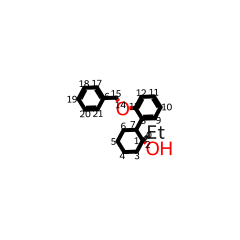 CCC1(O)CCCCC1c1ccccc1OCc1ccccc1